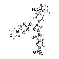 CC(C)(C)c1ccc(-c2nc(NC(=O)c3ccc([N+](=O)[O-])s3)sc2Oc2ccc(N3CCOCC3)cc2)cc1